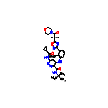 BC(B)(B)NC(=O)c1nnc(NC(=O)C2CC2)cc1Nc1cccc(-c2noc(C(C)(C)C(=O)N3CCOCC3)n2)c1OC